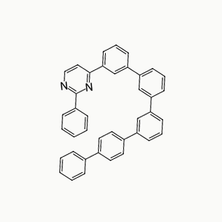 c1ccc(-c2ccc(-c3cccc(-c4cccc(-c5cccc(-c6ccnc(-c7ccccc7)n6)c5)c4)c3)cc2)cc1